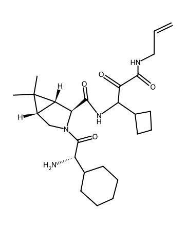 C=CCNC(=O)C(=O)C(NC(=O)[C@@H]1[C@@H]2[C@H](CN1C(=O)[C@@H](N)C1CCCCC1)C2(C)C)C1CCC1